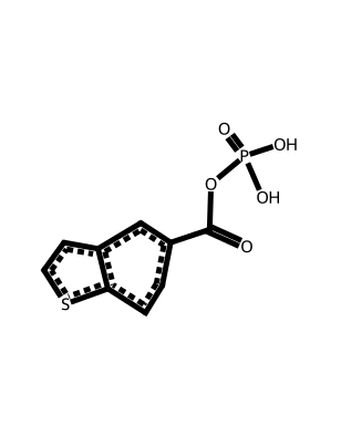 O=C(OP(=O)(O)O)c1ccc2sccc2c1